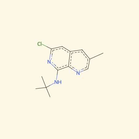 Cc1cnc2c(NC(C)(C)C)nc(Cl)cc2c1